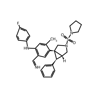 Cc1cc(Nc2ccc(F)cc2)c(C=N)cc1[C@@]12CN(S(=O)(=O)N3CCCC3)C[C@@H]1[C@H]2c1ccccc1